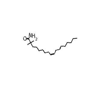 CCCCCCCC/C=C\CCCCCCC(C)(C)C(N)=O